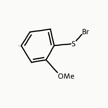 COc1c[c]ccc1SBr